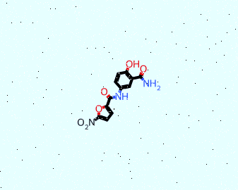 NC(=O)c1cc(NC(=O)c2ccc([N+](=O)[O-])o2)ccc1O